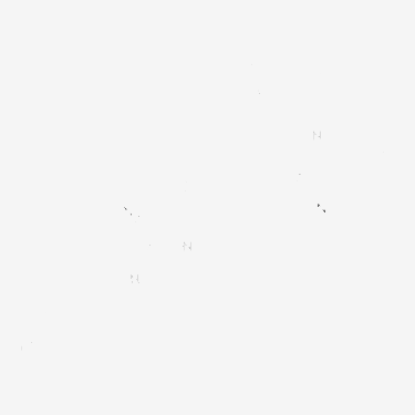 CC1COC(C=S)N1c1cc(-c2ccnc(Nc3cccc(Cl)c3)n2)ccn1